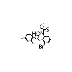 COC(=S)N(O)c1cccc(Br)c1COc1ccc(C)cc1C